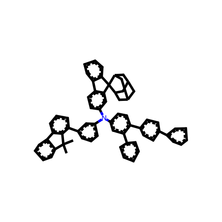 CC1(C)c2ccccc2-c2cccc(-c3cccc(N(c4ccc(-c5ccc(-c6ccccc6)cc5)c(-c5ccccc5)c4)c4ccc5c(c4)C4(c6ccccc6-5)C5CC6CC(C5)CC4C6)c3)c21